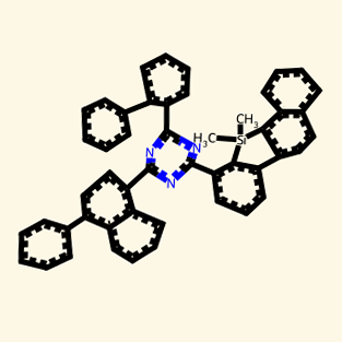 C[Si]1(C)c2c(-c3nc(-c4ccccc4-c4ccccc4)nc(-c4ccc(-c5ccccc5)c5ccccc45)n3)cccc2-c2ccc3ccccc3c21